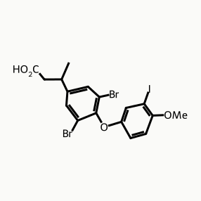 COc1ccc(Oc2c(Br)cc(C(C)CC(=O)O)cc2Br)cc1I